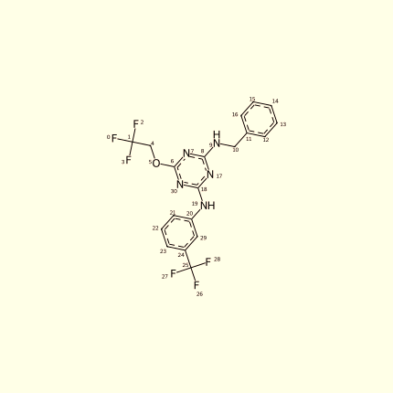 FC(F)(F)COc1nc(NCc2ccccc2)nc(Nc2cccc(C(F)(F)F)c2)n1